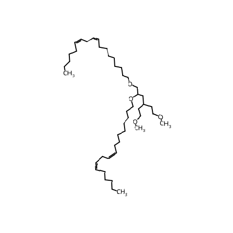 CCCCC/C=C\C/C=C\CCCCCCCCOCC(CC(CCOC)CCOC)OCCCCCCCC/C=C\C/C=C\CCCCC